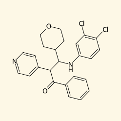 O=C(c1ccccc1)C(c1ccncc1)C(Nc1ccc(Cl)c(Cl)c1)C1CCOCC1